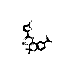 CC(=O)c1ccc2c(c1)[C@H](NC(=O)c1ccc(Br)o1)[C@@H](O)C(C)(C)O2